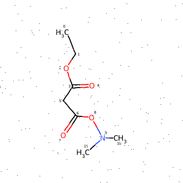 CCOC(=O)CC(=O)ON(C)C